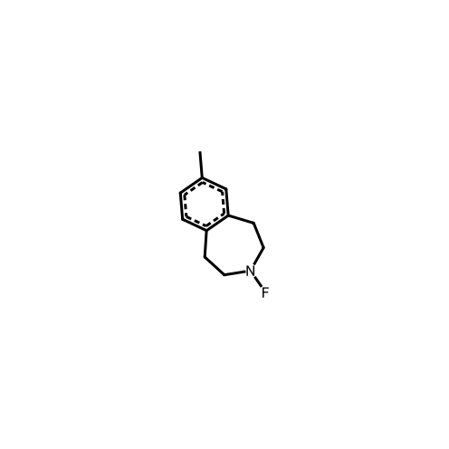 Cc1ccc2c(c1)CCN(F)CC2